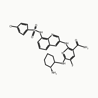 NC(=O)c1cc(F)c(NC2CCCC[C@@H]2N)nc1Nc1cnc2c(NS(=O)(=O)c3ccc(Cl)cc3)cccc2c1